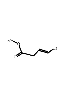 CCC=CCC(=O)OCCC